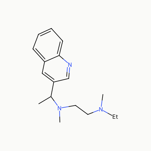 CCN(C)CCN(C)C(C)c1cnc2ccccc2c1